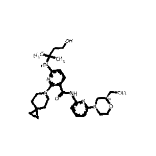 CC(C)(CCO)Nc1ccc(C(=O)Nc2cccc(N3CCO[C@H](CO)C3)n2)c(N2CCC3(CC2)CC3)n1